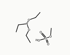 CCON(CC)OCC.COS(=O)(=O)O